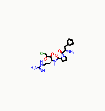 N=C(N)NCCC[C@@H](NC(=O)[C@@H]1CCCN1C(=O)C(N)Cc1ccccc1)C(=O)C(=O)CCl